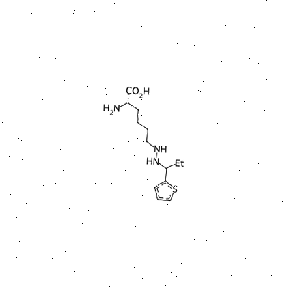 CCC(NNCCCC[C@H](N)C(=O)O)c1cccs1